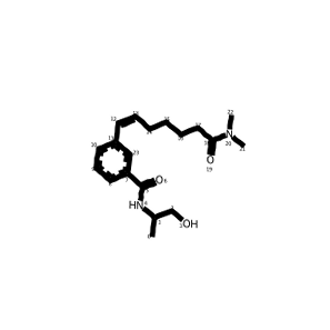 CC(CO)NC(=O)c1cccc(/C=C\CCCCC(=O)N(C)C)c1